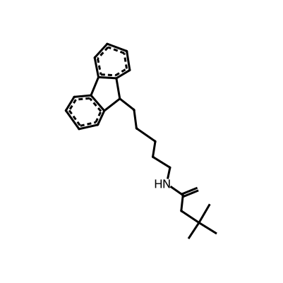 C=C(CC(C)(C)C)NCCCCCC1c2ccccc2-c2ccccc21